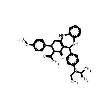 CCN(c1ccc(C2Nc3ccccc3NC3=C2C(=O)C(C(C)=O)C(c2ccc(OC)cc2)C3)cc1)C(C)C